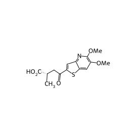 COc1cc2sc(C(=O)C[C@H](C)C(=O)O)cc2nc1OC